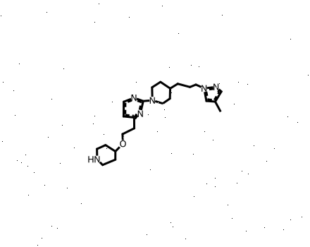 Cc1cnn(CCCC2CCN(c3nccc(CCOC4CCNCC4)n3)CC2)c1